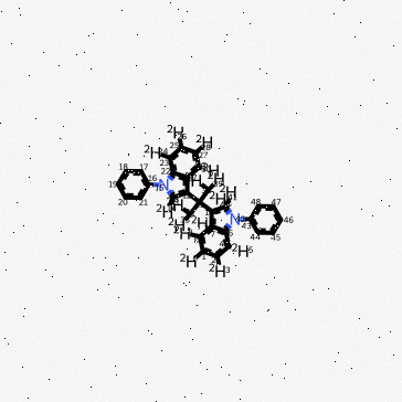 [2H]c1c([2H])c([2H])c2c(c1[2H])c(C(c1c([2H])n(-c3ccccc3)c3c([2H])c([2H])c([2H])c([2H])c13)(C([2H])([2H])[2H])C([2H])([2H])[2H])c([2H])n2-c1ccccc1